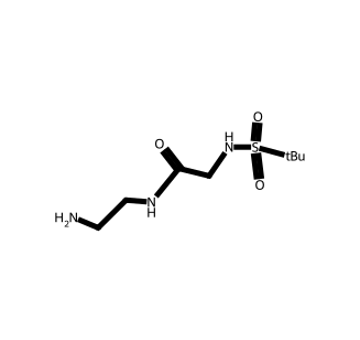 CC(C)(C)S(=O)(=O)NCC(=O)NCCN